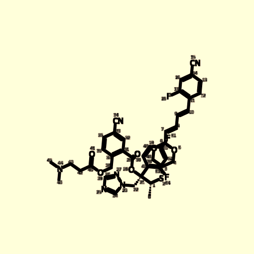 C[C@@H](S[C@H]1CO[C@H](C=CC=Cc2ccc(C#N)cc2F)OC1)[C@@](Cn1cncn1)(OC(=O)c1cc(C#N)ccc1COC(=O)CCN(C)C)c1ccc(F)cc1F